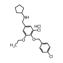 CCOc1cc(CNC2CCCC2)cc(Cl)c1OCc1ccc(Cl)cc1.Cl